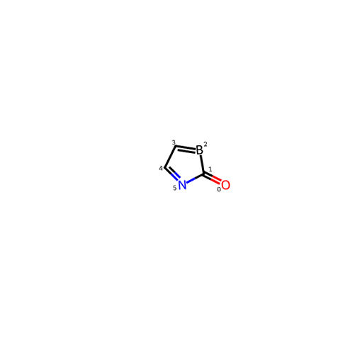 O=C1B=CC=N1